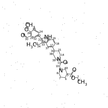 CCOC(=O)C1CCCN(CC(=O)N2CCC(c3ccc4[nH]c(-c5ccc(OC)c(C=O)c5)c(CC)c4c3)CC2)C1